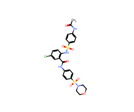 CC(=O)Nc1ccc(S(=O)(=O)Nc2ccc(Cl)cc2C(=O)Nc2ccc(S(=O)(=O)N3CCOCC3)cc2)cc1